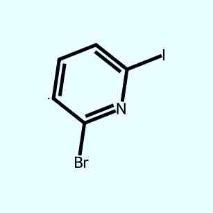 Brc1[c]ccc(I)n1